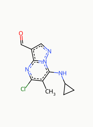 Cc1c(Cl)nc2c(C=O)cnn2c1NC1CC1